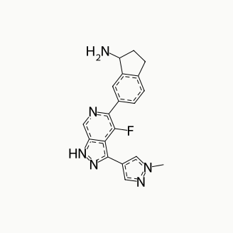 Cn1cc(-c2n[nH]c3cnc(-c4ccc5c(c4)C(N)CC5)c(F)c23)cn1